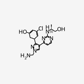 C[C@@H](CO)Nc1nccc(-c2cn(CN)nc2C2C=C(Cl)C=C(O)C2)n1